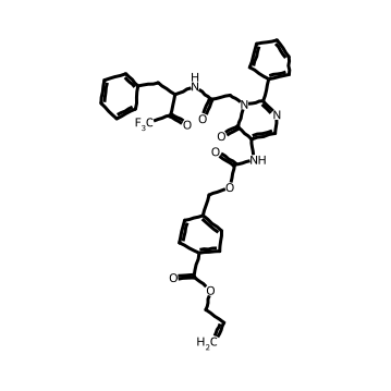 C=CCOC(=O)c1ccc(COC(=O)Nc2cnc(-c3ccccc3)n(CC(=O)NC(Cc3ccccc3)C(=O)C(F)(F)F)c2=O)cc1